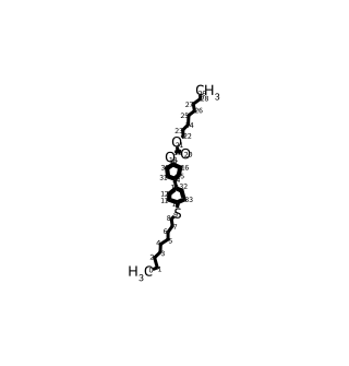 CCCCCCCCCSc1ccc(-c2ccc(OC(=O)OCCCCCCCC)cc2)cc1